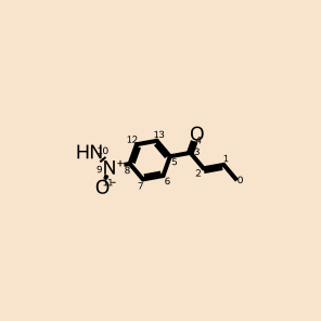 CC=CC(=O)c1ccc([N+](=N)[O-])cc1